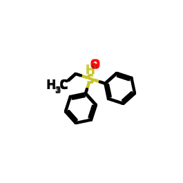 CC[SH](=O)(c1ccccc1)c1ccccc1